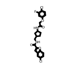 O=C(COc1ccc(Cl)c(F)c1)NC1CCC(CNC(=O)c2cc3cc(Cl)ccc3o2)C1